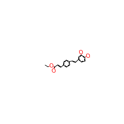 CCOC(=O)C=Cc1ccc(C=Cc2ccc(OC)c(OC)c2)cc1